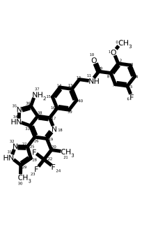 COc1ccc(F)cc1C(=O)NCc1ccc(-c2nc(C(C)C(F)(F)F)c(-c3cc(C)[nH]n3)c3[nH]nc(N)c23)cc1